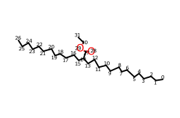 CCCCCCCCCCCCCCC(CCCCCCCCCCCC)C(=O)OCC